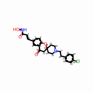 O=C(C=Cc1ccc2c(c1)C(=O)CC1(CCN(CCc3ccc(Cl)cc3)CC1)O2)NO